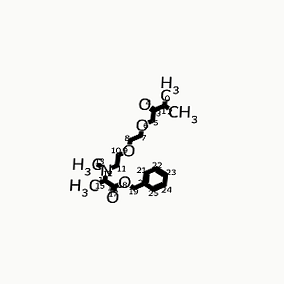 CC(C)C(=O)COCCOCCN(C)C(C)C(=O)OCc1ccccc1